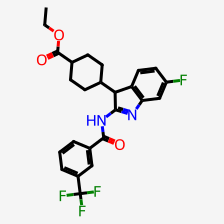 CCOC(=O)C1CCC(C2C(NC(=O)c3cccc(C(F)(F)F)c3)=Nc3cc(F)ccc32)CC1